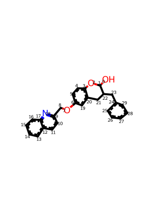 OC1Oc2ccc(OCc3ccc4ccccc4n3)cc2CC1Cc1ccccc1